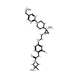 COCc1cnc(N2CCC([C@@]3(N)C[C@H]3CCOc3ccc(CC(=O)N4CC(C)(O)C4)c(F)c3)CC2)nc1